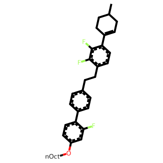 CCCCCCCCOc1ccc(-c2ccc(CCc3ccc(C4=CCC(C)CC4)c(F)c3F)cc2)c(F)c1